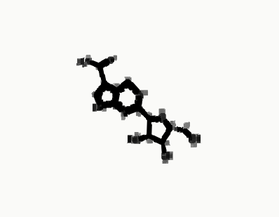 NC(=O)c1c[nH]c2nc([C@H]3O[C@H](CO)[C@@H](O)[C@H]3O)ncc12